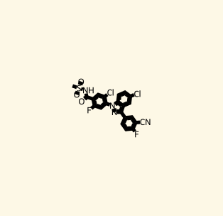 CS(=O)(=O)NC(=O)c1cc(Cl)c(-n2nc(-c3ccc(F)c(C#N)c3)c3cc(Cl)ccc32)cc1F